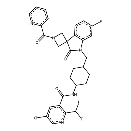 O=C(NC1CCC(CN2C(=O)C3(CN(C(=O)c4ccccn4)C3)c3ccc(F)cc32)CC1)c1cc(Cl)cnc1C(F)F